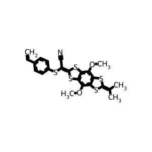 C=Cc1ccc(SC(C#N)=C2Sc3c(OC)c4c(c(OC)c3S2)SC(=C(C)C)S4)cc1